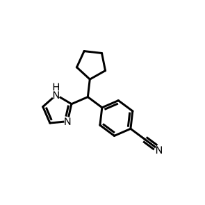 N#Cc1ccc(C(c2ncc[nH]2)C2CCCC2)cc1